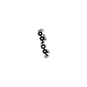 CCCc1ccc(-c2ccc(COC3CCC(c4ccc(C5CO5)c(F)c4)CC3)c(F)c2F)cc1